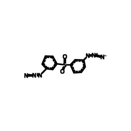 [N-]=[N+]=Nc1cccc(S(=O)(=O)c2cccc(N=[N+]=[N-])c2)c1